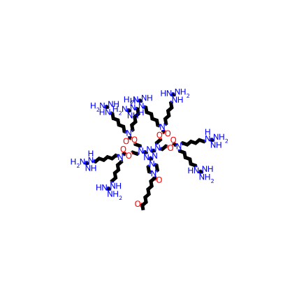 CC(=O)CCCCCCC(=O)N1CCN(c2nc(N(CCOC(=O)N(CCCCCCNC(=N)N)CCCCCCNC(=N)N)CCOC(=O)N(CCCCCCNC(=N)N)CCCCCCNC(=N)N)nc(N(CCOC(=O)N(CCCCCCNC(=N)N)CCCCCCNC(=N)N)CCOC(=O)N(CCCCCCNC(=N)N)CCCCCCNC(=N)N)n2)CC1